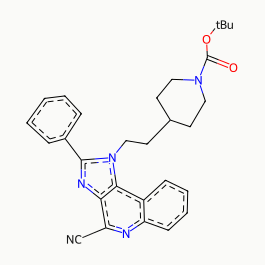 CC(C)(C)OC(=O)N1CCC(CCn2c(-c3ccccc3)nc3c(C#N)nc4ccccc4c32)CC1